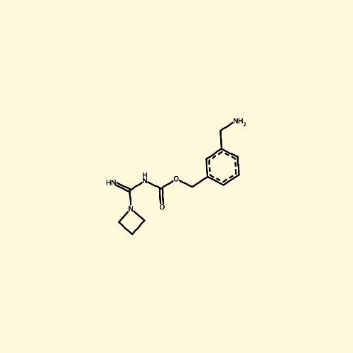 N=C(NC(=O)OCc1cccc(CN)c1)N1CCC1